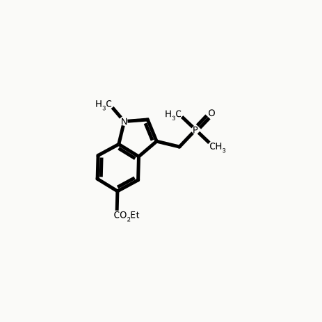 CCOC(=O)c1ccc2c(c1)c(CP(C)(C)=O)cn2C